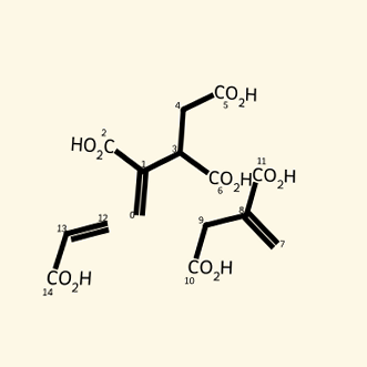 C=C(C(=O)O)C(CC(=O)O)C(=O)O.C=C(CC(=O)O)C(=O)O.C=CC(=O)O